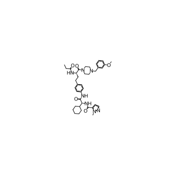 CCC(=O)N[C@H](CCc1ccc(NC(=O)[C@@H](NC(=O)c2ccnn2C)C2CCCCC2)cc1)C(=O)N1CCN(Cc2cccc(OC)c2)CC1